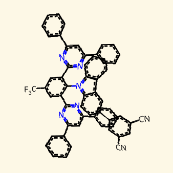 N#Cc1cc(C#N)cc(-c2ccc3c(c2)c2ccccc2n3-c2c(-c3nc(-c4ccccc4)cc(-c4ccccc4)n3)cc(C(F)(F)F)cc2-c2nc(-c3ccccc3)cc(-c3ccccc3)n2)c1